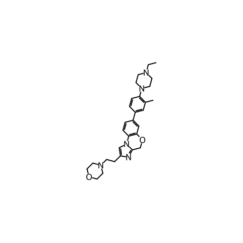 CCN1CCN(c2ccc(-c3ccc4c(c3)OCc3nc(CCN5CCOCC5)cn3-4)cc2C)CC1